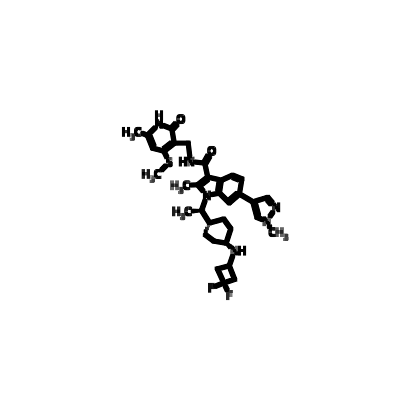 CSc1cc(C)[nH]c(=O)c1CNC(=O)c1c(C)n([C@H](C)[C@H]2CC[C@H](NC3CC(F)(F)C3)CC2)c2cc(-c3cnn(C)c3)ccc12